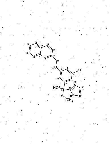 CCC(O)(c1cc(F)cc(OCc2ccc3ccccc3c2)c1)c1nccs1